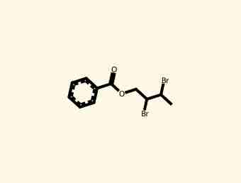 CC(Br)C(Br)COC(=O)c1ccccc1